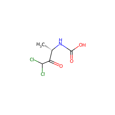 C[C@H](NC(=O)O)C(=O)C(Cl)Cl